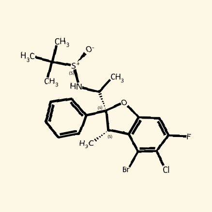 CC(N[S@+]([O-])C(C)(C)C)[C@]1(c2ccccc2)Oc2cc(F)c(Cl)c(Br)c2[C@@H]1C